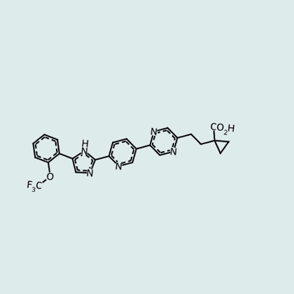 O=C(O)C1(CCc2cnc(-c3ccc(-c4ncc(-c5ccccc5OC(F)(F)F)[nH]4)nc3)cn2)CC1